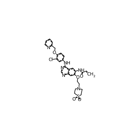 C=CC(=O)Nc1cc2c(Nc3ccc(OCc4ccccn4)c(Cl)c3)ncnc2cc1OCCN1CCS(=O)(=O)CC1